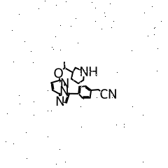 CC(Oc1ccc2ncc(-c3ccc(CC#N)cc3)n2n1)C1CCCNC1